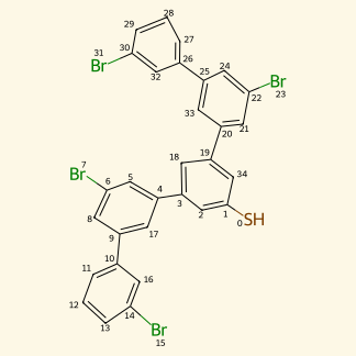 Sc1cc(-c2cc(Br)cc(-c3cccc(Br)c3)c2)cc(-c2cc(Br)cc(-c3cccc(Br)c3)c2)c1